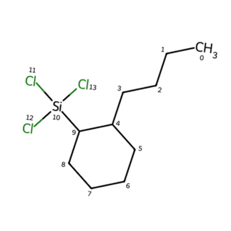 CCCCC1CCCCC1[Si](Cl)(Cl)Cl